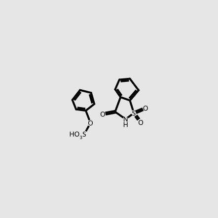 O=C1NS(=O)(=O)c2ccccc21.O=S(=O)(O)Oc1ccccc1